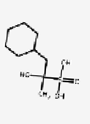 CC(O)(CC1CCCCC1)P(=O)(O)O